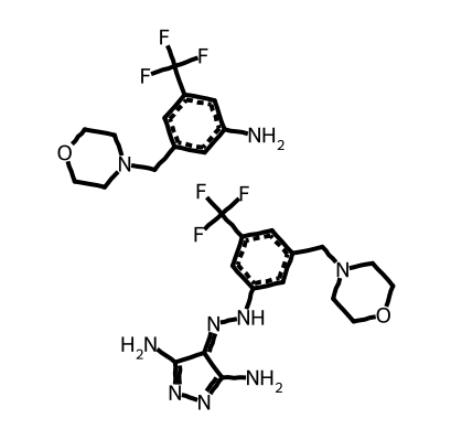 NC1=NN=C(N)C1=NNc1cc(CN2CCOCC2)cc(C(F)(F)F)c1.Nc1cc(CN2CCOCC2)cc(C(F)(F)F)c1